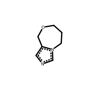 c1ncn2c1COCCC2